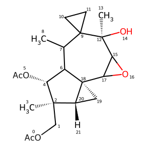 CC(=O)OC[C@@]1(C)[C@H](OC(C)=O)C2C(C)C3(CC3)[C@@](C)(O)C3OC3[C@]23C[C@@H]31